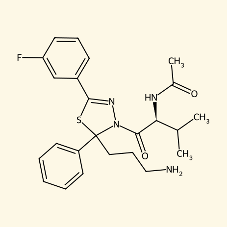 CC(=O)N[C@H](C(=O)N1N=C(c2cccc(F)c2)SC1(CCCN)c1ccccc1)C(C)C